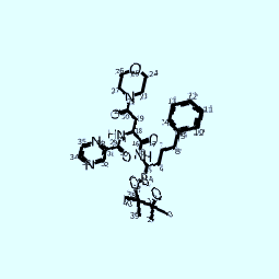 CC1(C)OB([C@H](CCCc2ccccc2)NC(=O)C(CC(=O)N2CCOCC2)NC(=O)c2cnccn2)OC1(C)C